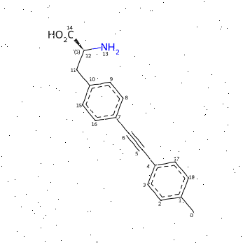 Cc1ccc(C#Cc2ccc(C[C@H](N)C(=O)O)cc2)cc1